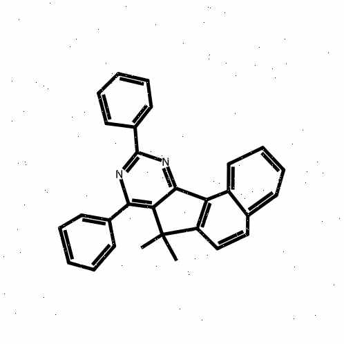 CC1(C)c2ccc3ccccc3c2-c2nc(-c3ccccc3)nc(-c3ccccc3)c21